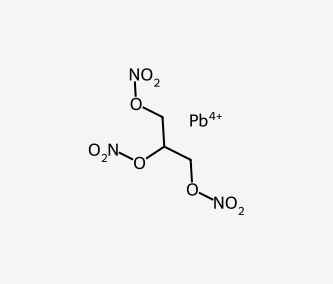 O=[N+]([O-])OCC(CO[N+](=O)[O-])O[N+](=O)[O-].[Pb+4]